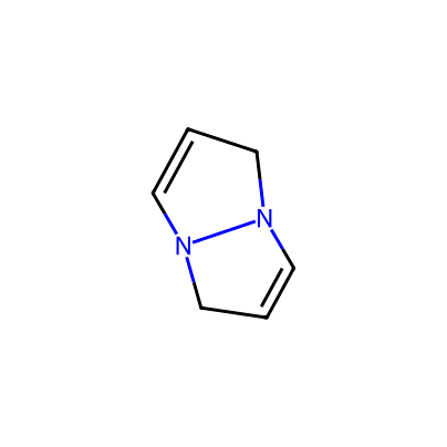 C1=CN2CC=CN2C1